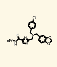 CCCNC(=O)c1csc(CN(Cc2ccc(Cl)cc2)Cc2ccc3c(c2)OCO3)n1